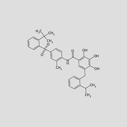 Cc1cc(S(=O)(=O)c2ccccc2C(C)(C)C)ccc1NC(=O)c1cc(Cc2ccccc2C(C)C)c(O)c(O)c1O